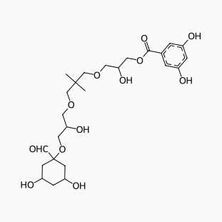 CC(C)(COCC(O)COC(=O)c1cc(O)cc(O)c1)COCC(O)COC1(C=O)CC(O)CC(O)C1